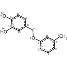 Cc1ccnc(OCc2ccc(O)c(O)c2)c1